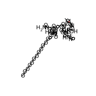 COCCOCCOCCOCCOCCOCCOCCOCCOCCOCCOCCOc1ccc(C[C@@H](C(=O)NC(C(=O)N[C@@H](CCCNC(N)=O)C(=O)Nc2ccc(COC(=O)N(CCOC34CC5(C)CC(C)(CC(Cn6ncc(-c7ccc(N8CCc9cccc(C(=O)Nc%10nc%11ccccc%11s%10)c9C8)nc7C(=O)O)c6C)(C5)C3)C4)CCS(=O)(=O)O)cc2)C(C)C)N2C(=O)C=CC2=O)cc1